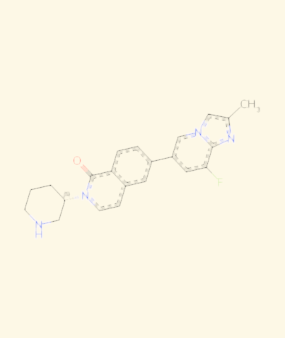 Cc1cn2cc(-c3ccc4c(=O)n([C@H]5CCCNC5)ccc4c3)cc(F)c2n1